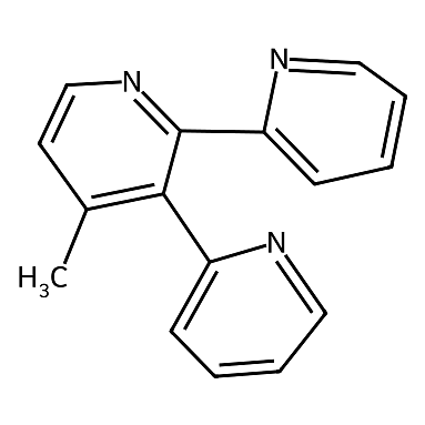 Cc1ccnc(-c2ccccn2)c1-c1ccccn1